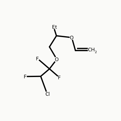 C=COC(CC)COC(F)(F)C(F)Cl